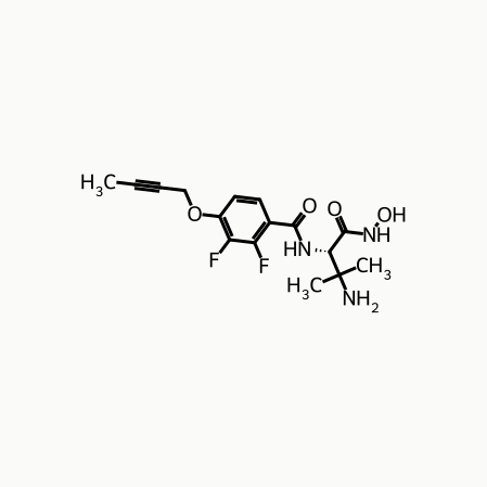 CC#CCOc1ccc(C(=O)N[C@H](C(=O)NO)C(C)(C)N)c(F)c1F